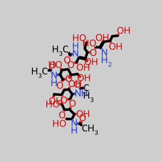 CC(=O)N/C(=C(/O)C(CCO)OC(O)/C(N)=C(\O)C(O)CCO)C(O)OC1C(CO)OC(OC2C(CO)OC(OC3C(CO)OC(O)C(NC(C)=O)C3O)C(NC(C)=O)C2O)C(NC(C)=O)C1O